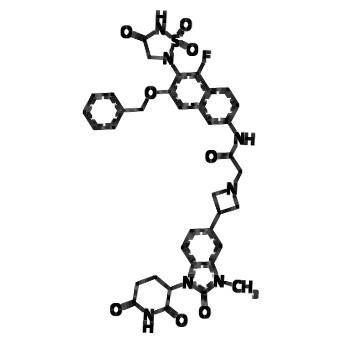 Cn1c(=O)n(C2CCC(=O)NC2=O)c2ccc(C3CN(CC(=O)Nc4ccc5c(F)c(N6CC(=O)NS6(=O)=O)c(OCc6ccccc6)cc5c4)C3)cc21